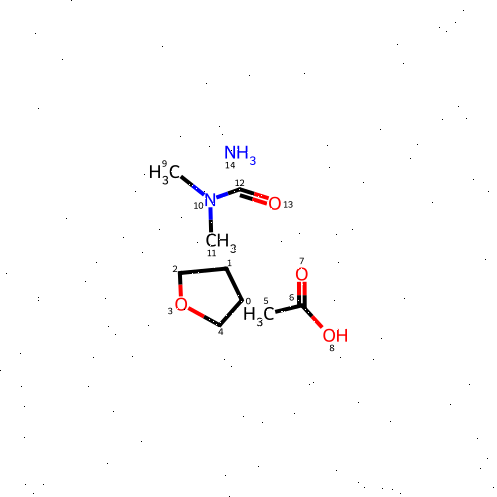 C1CCOC1.CC(=O)O.CN(C)C=O.N